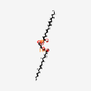 CCCCCCCCCCCCCCCC(=O)POCC(CO)OPC(=O)CCCCCCCCCCCCCCC